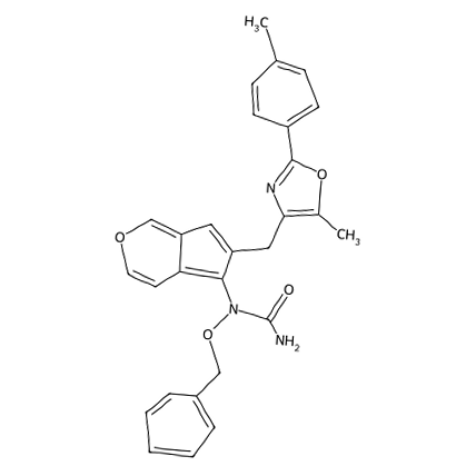 Cc1ccc(-c2nc(Cc3cc4coccc-4c3N(OCc3ccccc3)C(N)=O)c(C)o2)cc1